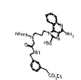 CCCCCN(CCCn1c(CCCC)nc2c(N)nc3ccccc3c21)CC(=O)NCc1cccc(CC(=O)OCC)c1